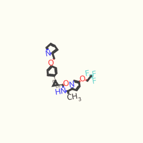 CC(NC(=O)[C@H]1C[C@@H]1c1ccc(OCc2ccccn2)cc1)c1ccc(OCC(F)(F)F)cn1